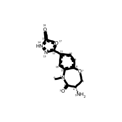 CN1C(=O)[C@@H](N)COc2ccc(-c3n[nH]c(=O)o3)cc21